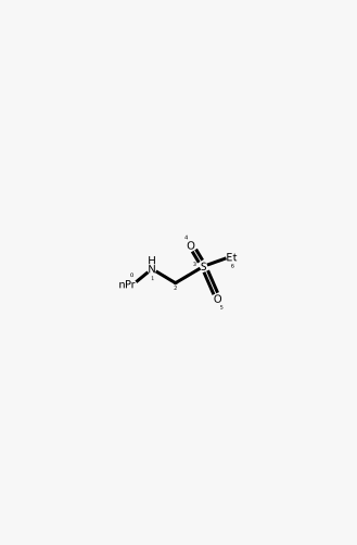 CCCNCS(=O)(=O)CC